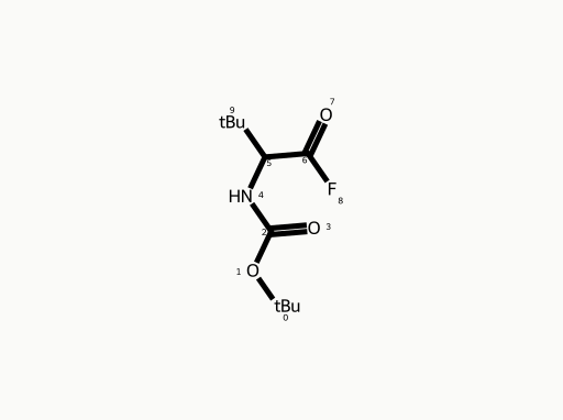 CC(C)(C)OC(=O)NC(C(=O)F)C(C)(C)C